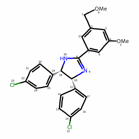 COCc1cc(OC)cc(C2=N[C@H](c3ccc(Cl)cc3)[C@H](c3ccc(Cl)cc3)N2)c1